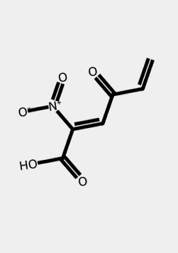 C=CC(=O)C=C(C(=O)O)[N+](=O)[O-]